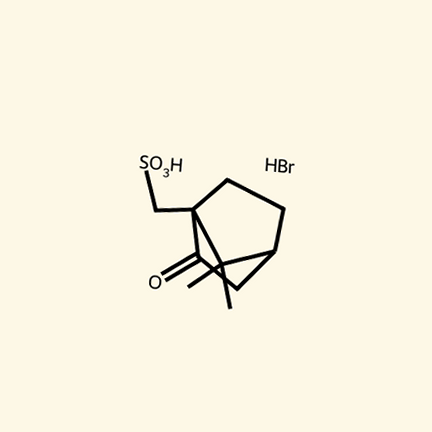 Br.CC1(C)C2CCC1(CS(=O)(=O)O)C(=O)C2